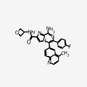 Cc1ccnc2ccc(-c3c(-c4ccc(F)cc4)nc(N)c4nc(C(=O)NC5COC5)cn34)cc12